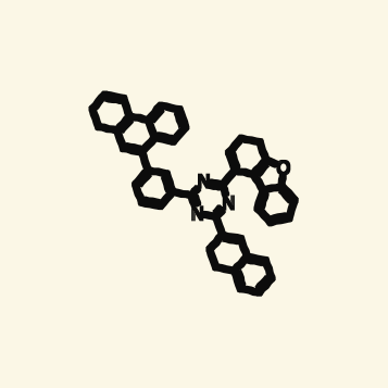 C1=Cc2c(cc(-c3cccc(-c4nc(C5=Cc6ccccc6CC5)nc(C5=CCCc6oc7ccccc7c65)n4)c3)c3ccccc23)CC1